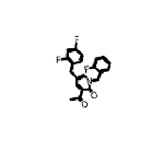 CC(=O)c1cc(Cc2ccc(F)cc2F)cn(Cc2ccccc2F)c1=O